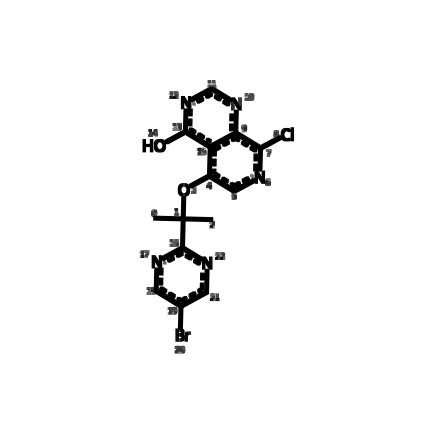 CC(C)(Oc1cnc(Cl)c2ncnc(O)c12)c1ncc(Br)cn1